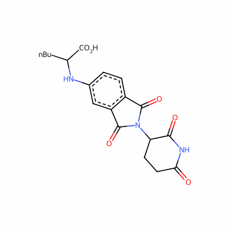 CCCCC(Nc1ccc2c(c1)C(=O)N(C1CCC(=O)NC1=O)C2=O)C(=O)O